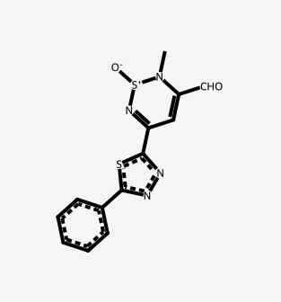 CN1C(C=O)=CC(c2nnc(-c3ccccc3)s2)=N[S+]1[O-]